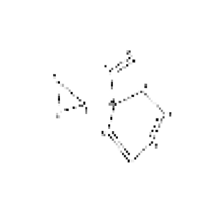 C=CC1(C2CC2)C=CC=CC1